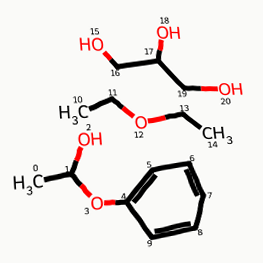 CC(O)Oc1ccccc1.CCOCC.OCC(O)CO